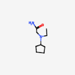 CCN(CC(N)=O)C1CCCC1